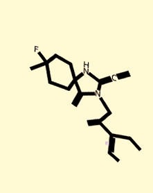 C=C=C1NC2(CCC(C)(F)CC2)C(=C)N1CC(=C)/C(=C/C)CC